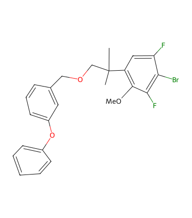 COc1c(C(C)(C)COCc2cccc(Oc3ccccc3)c2)cc(F)c(Br)c1F